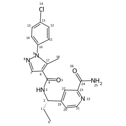 CC[C@H](NC(=O)c1cnn(-c2ccc(Cl)cc2)c1C)c1ccnc(C(N)=O)c1